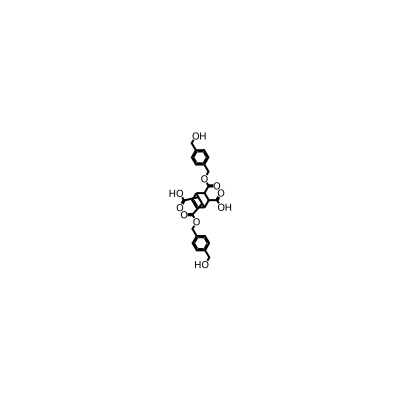 O=C(O)C1C2C=CC(C(C(=O)O)C2C(=O)OCc2ccc(CO)cc2)C1C(=O)OCc1ccc(CO)cc1